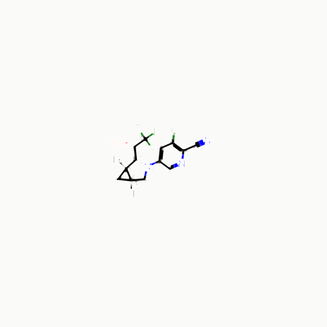 N#Cc1ncc(N2C[C@@H]3C[C@@H]3[C@@H]2[C@H](O)C(F)(F)F)cc1Cl